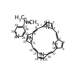 C1=Cc2cc3ccc(cc4nc(cc5ccc(cc1n2)[nH]5)C=C4)[nH]3.CN(C)c1ccncc1